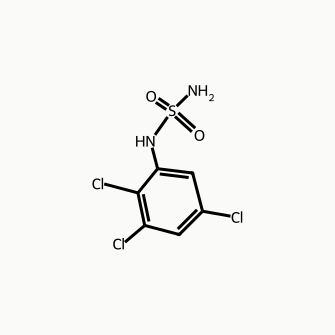 NS(=O)(=O)Nc1cc(Cl)cc(Cl)c1Cl